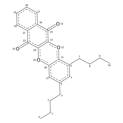 CCCCc1cc(CCCC)c2oc3c(=O)c4ccccc4c(=O)c=3oc2c1